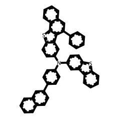 c1ccc(-c2cc3ccccc3c3sc4ccc(N(c5ccc(-c6ccc7ccccc7c6)cc5)c5ccc6sc7ccccc7c6c5)cc4c23)cc1